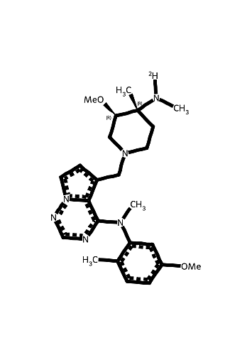 [2H]N(C)[C@]1(C)CCN(Cc2ccn3ncnc(N(C)c4cc(OC)ccc4C)c23)C[C@H]1OC